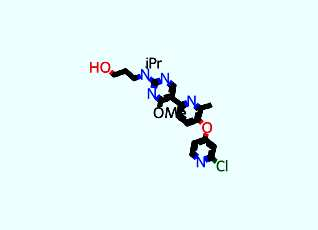 COc1nc(N(CCCO)C(C)C)ncc1-c1ccc(Oc2ccnc(Cl)c2)c(C)n1